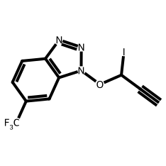 C#CC(I)On1nnc2ccc(C(F)(F)F)cc21